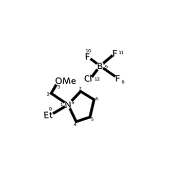 CC[N+]1(COC)CCCC1.F[B-](F)(F)Cl